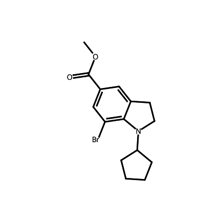 COC(=O)c1cc(Br)c2c(c1)CCN2C1CCCC1